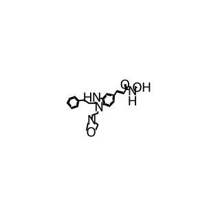 O=C(/C=C/c1ccc2c(c1)NC(CCc1ccccc1)N2CCN1CCOCC1)NO